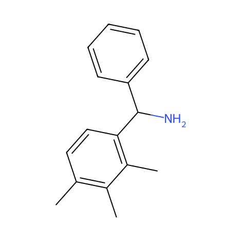 Cc1ccc(C(N)c2ccccc2)c(C)c1C